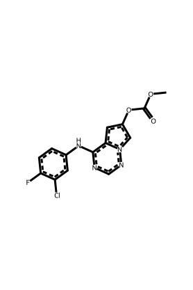 COC(=O)Oc1cc2c(Nc3ccc(F)c(Cl)c3)ncnn2c1